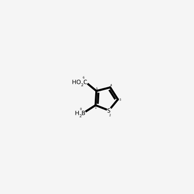 Bc1sccc1C(=O)O